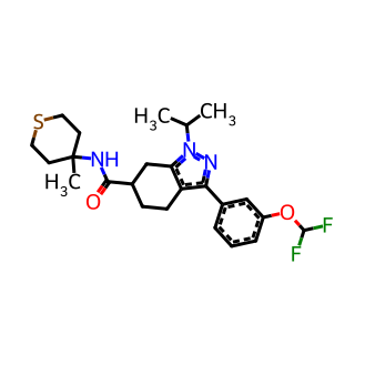 CC(C)n1nc(-c2cccc(OC(F)F)c2)c2c1CC(C(=O)NC1(C)CCSCC1)CC2